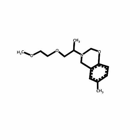 COCCOCC(C)N1COc2ccc(C)cc2C1